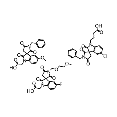 COCCOCN1C(=O)CC2(C1=O)C(=O)N(CC(=O)O)c1ccc(F)cc12.COc1ccc2c(c1)C1(CC(=O)N(Cc3ccccc3)C1=O)C(=O)N2CC(=O)O.O=C(O)CCCN1C(=O)C2(CC(=O)N(Cc3ccccc3)C2=O)c2cc(Cl)ccc21